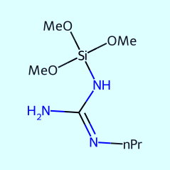 CCCN=C(N)N[Si](OC)(OC)OC